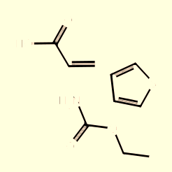 C=CC(=O)O.CCOC(N)=O.c1ccsc1